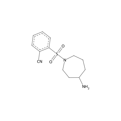 N#Cc1ccccc1S(=O)(=O)N1CCCC(N)CC1